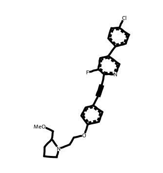 COCC1CCCN1CCOc1ccc(C#Cc2ncc(-c3ccc(Cl)cc3)cc2F)cc1